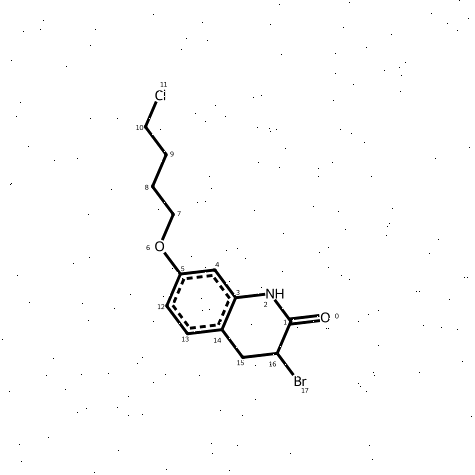 O=C1Nc2cc(OCCCCCl)ccc2CC1Br